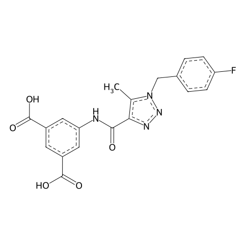 Cc1c(C(=O)Nc2cc(C(=O)O)cc(C(=O)O)c2)nnn1Cc1ccc(F)cc1